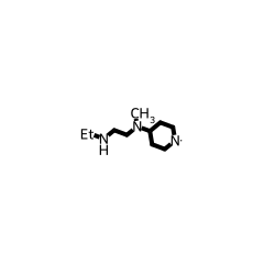 CCNCCN(C)C1CC[N]CC1